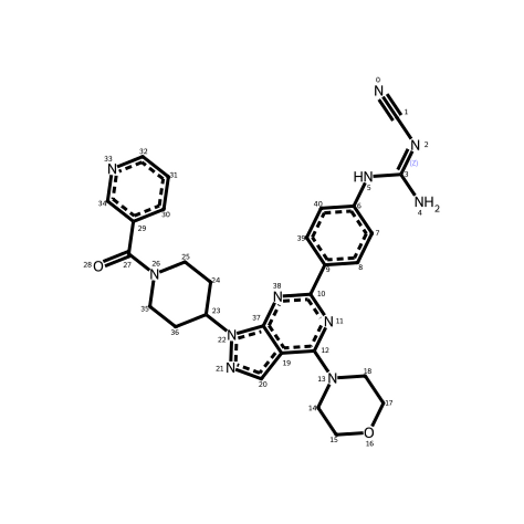 N#C/N=C(/N)Nc1ccc(-c2nc(N3CCOCC3)c3cnn(C4CCN(C(=O)c5cccnc5)CC4)c3n2)cc1